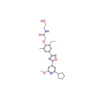 CCc1cc(-c2noc(-c3cc(OC)nc(C4CCCC4)c3)n2)cc(C)c1OCC(=O)NCCO